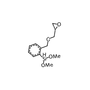 CO[SiH](OC)c1ccccc1COCC1CO1